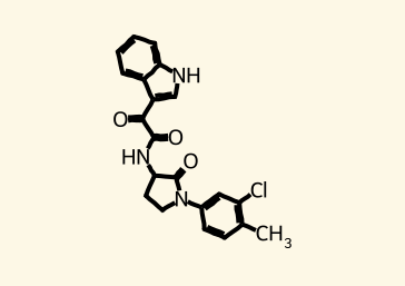 Cc1ccc(N2CCC(NC(=O)C(=O)c3c[nH]c4ccccc34)C2=O)cc1Cl